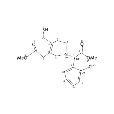 COC(=O)CC1=C(CS)CCN([C@H](C(=O)OC)c2ccccc2Cl)C1